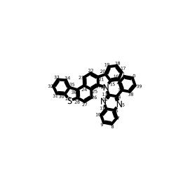 c1ccc(-c2nc3ccccc3nc2-n2c3ccccc3c3ccc4c(ccc5sc6ccccc6c54)c32)cc1